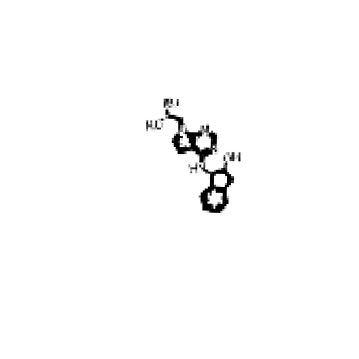 CC[C@@H](C)[C@@H](O)Cn1ccc2c(N[C@@H]3c4ccccc4C[C@@H]3O)ncnc21